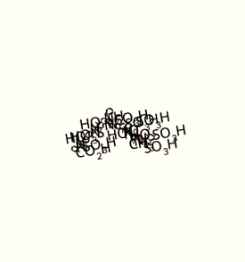 Cc1cc(N=Nc2c(S(=O)(=O)O)cc3c(S(=O)(=O)O)c(N=Nc4c(Nc5ccccc5)ccc5c(O)c(N=Nc6ccc7c(O)c(N=Nc8ccccc8C(=O)O)c(S(=O)(=O)O)cc7c6)c(S(=O)(=O)O)cc45)ccc3c2O)c(OCCCS(=O)(=O)O)cc1N=Nc1cc(S(=O)(=O)O)cc2cc(S(=O)(=O)O)cc(O)c12